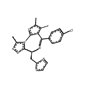 Cc1sc2c(c1C)C(c1ccc(Cl)cc1)=N[C@@H](Cc1nccs1)c1nnc(C)n1-2